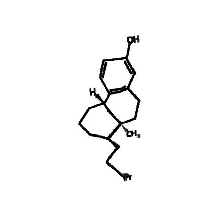 CC(C)CC[C@H]1CCC[C@@H]2c3ccc(O)cc3CC[C@@]12C